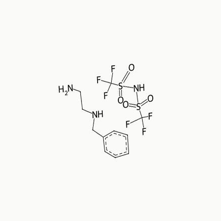 NCCNCc1ccccc1.O=S(=O)(NS(=O)(=O)C(F)(F)F)C(F)(F)F